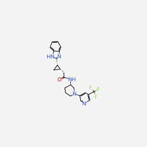 O=C(C[C@@H]1C[C@@H]1c1nc2ccccc2[nH]1)N[C@@H]1CCCN(c2cncc(C(F)(F)F)c2)C1